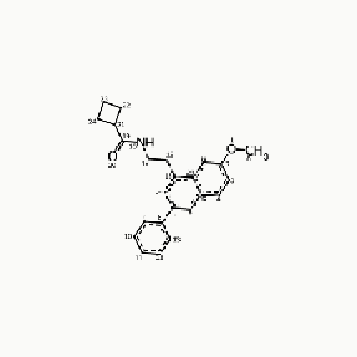 COc1ccc2cc(-c3ccccc3)cc(CCNC(=O)C3CCC3)c2c1